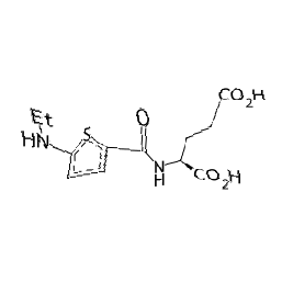 CCNc1ccc(C(=O)N[C@@H](CCC(=O)O)C(=O)O)s1